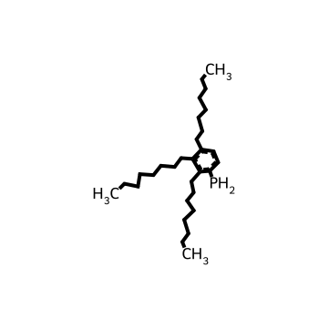 CCCCCCCCc1ccc(P)c(CCCCCCCC)c1CCCCCCCC